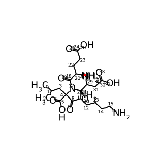 CC(C)CC(C(=O)O)(C(=O)C(N)CCCCN)N(C(=O)C(N)CCC(=O)O)C(=O)C(N)CC(=O)O